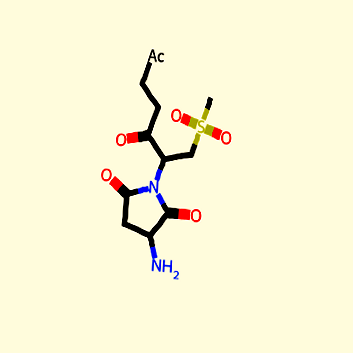 CC(=O)CCC(=O)C(CS(C)(=O)=O)N1C(=O)CC(N)C1=O